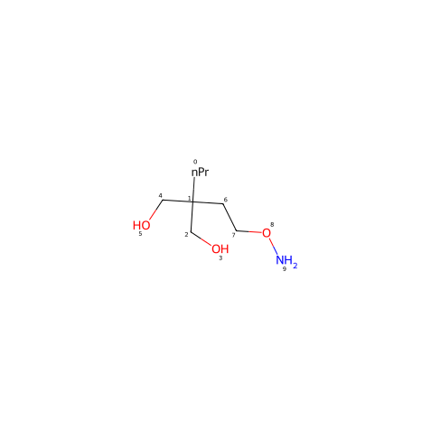 CCCC(CO)(CO)CCON